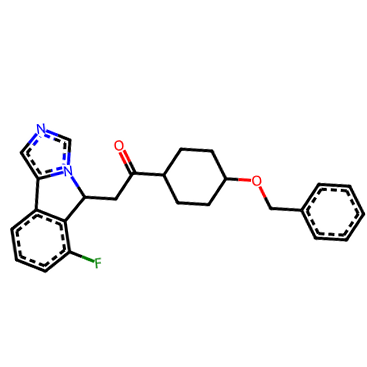 O=C(CC1c2c(F)cccc2-c2cncn21)C1CCC(OCc2ccccc2)CC1